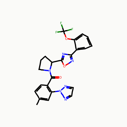 Cc1ccc(C(=O)N2CCCC2c2nc(-c3ccccc3OC(F)(F)F)no2)c(-n2nccn2)c1